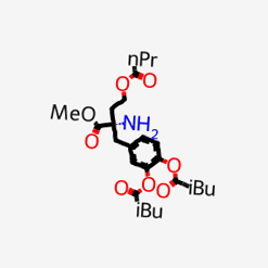 CCCC(=O)OCC[C@@](N)(Cc1ccc(OC(=O)C(C)CC)c(OC(=O)C(C)CC)c1)C(=O)OC